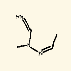 C/C=N\N(C)C=N